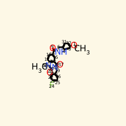 COc1ccc(CNC(=O)c2ccc3c(c2)c(=O)n(Cc2ccc(F)cc2)c(=O)n3C)cc1